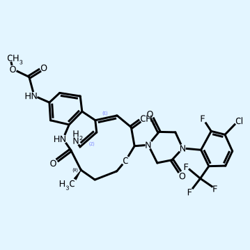 C=C1/C=C(\C=C/N)c2ccc(NC(=O)OC)cc2NC(=O)[C@H](C)CCCC1N1CC(=O)N(c2c(C(F)(F)F)ccc(Cl)c2F)CC1=O